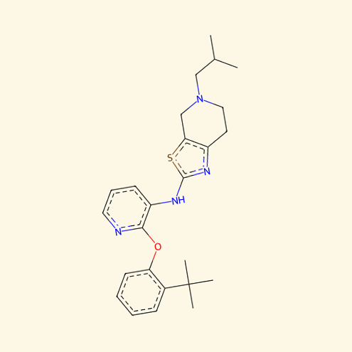 CC(C)CN1CCc2nc(Nc3cccnc3Oc3ccccc3C(C)(C)C)sc2C1